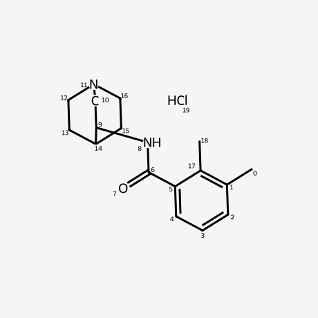 Cc1cccc(C(=O)NC2CN3CCC2CC3)c1C.Cl